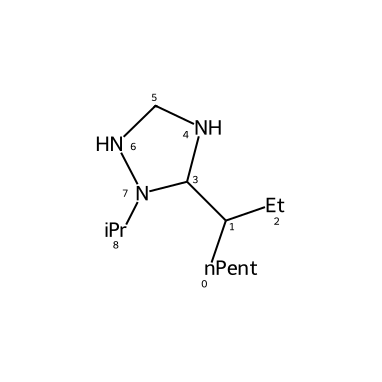 CCCCCC(CC)C1NCNN1C(C)C